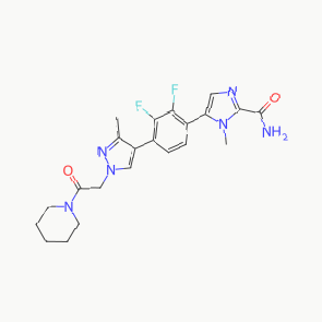 Cc1nn(CC(=O)N2CCCCC2)cc1-c1ccc(-c2cnc(C(N)=O)n2C)c(F)c1F